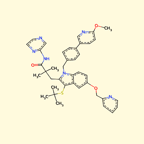 COc1ccc(-c2ccc(Cn3c(CC(C)(C)C(=O)Nc4cnccn4)c(SC(C)(C)C)c4cc(OCc5ccccn5)ccc43)cc2)cn1